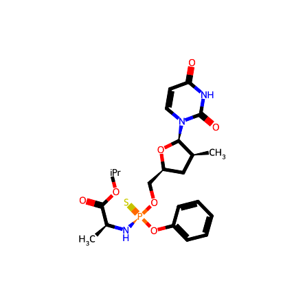 CC(C)OC(=O)[C@H](C)N[P@@](=S)(OC[C@@H]1C[C@H](C)[C@H](n2ccc(=O)[nH]c2=O)O1)Oc1ccccc1